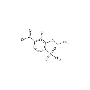 CCOc1c(S(C)(=O)=O)ccc(C(=O)Cl)c1Cl